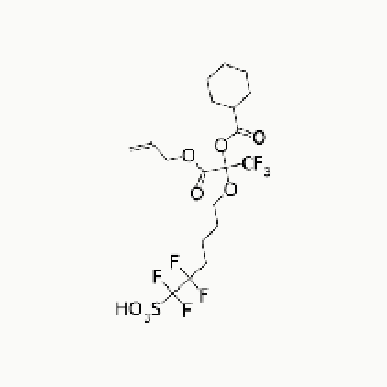 C=CCOC(=O)C(OCCCCC(F)(F)C(F)(F)S(=O)(=O)O)(OC(=O)C1CCCCC1)C(F)(F)F